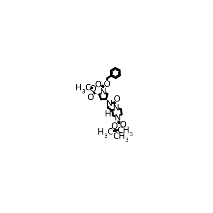 COC(=O)[C@H]1C[C@H](N2C[C@@H]3CN(C(=O)OC(C)(C)C)CCN3C2=O)CN1C(=O)OCc1ccccc1